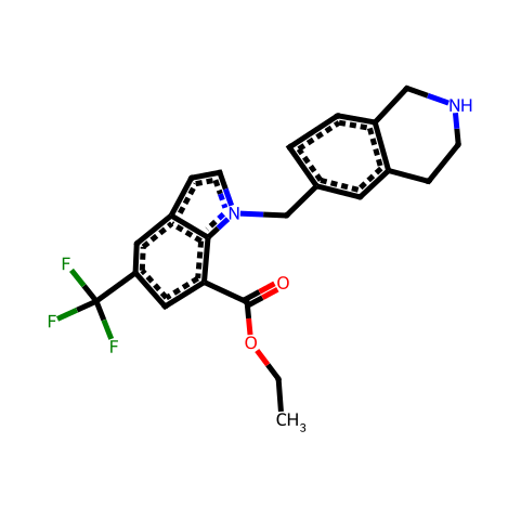 CCOC(=O)c1cc(C(F)(F)F)cc2ccn(Cc3ccc4c(c3)CCNC4)c12